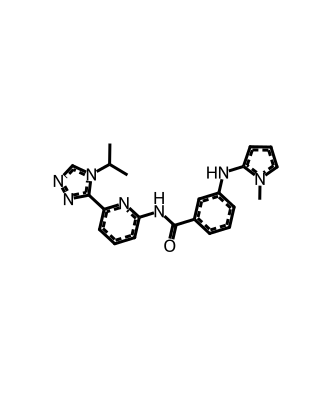 CC(C)n1cnnc1-c1cccc(NC(=O)c2cccc(Nc3cccn3C)c2)n1